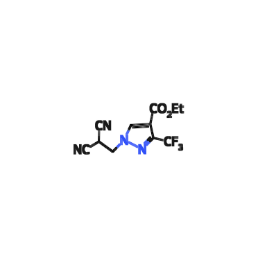 CCOC(=O)c1cn(CC(C#N)C#N)nc1C(F)(F)F